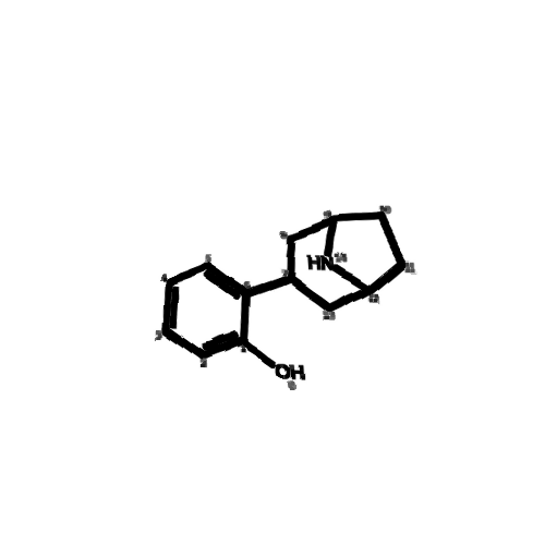 Oc1ccccc1C1CC2CCC(C1)N2